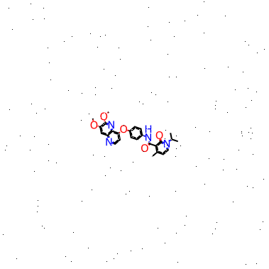 COc1cc2nccc(Oc3ccc(NC(=O)c4c(C)ccn(C(C)C)c4=O)cc3)c2nc1OC